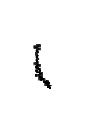 CC(C)(C)c1cnc(CSc2cnc(NC(=O)C3CCN(CC(=O)NCCOCCOCCNC(=O)O)CC3)s2)o1